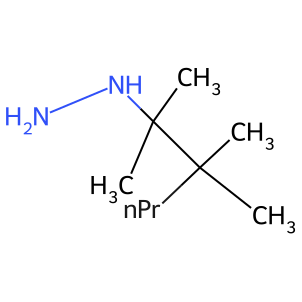 CCCC(C)(C)C(C)(C)NN